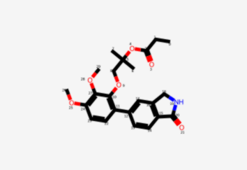 CCC(=O)OC(C)(C)COc1c(-c2ccc3c(c2)CNC3=O)ccc(OC)c1OC